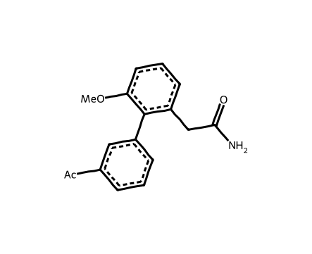 COc1cccc(CC(N)=O)c1-c1cccc(C(C)=O)c1